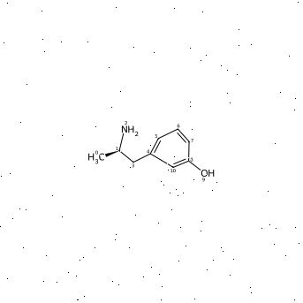 C[C@@H](N)Cc1cccc(O)c1